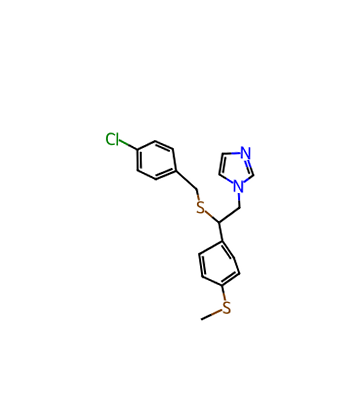 CSc1ccc(C(Cn2ccnc2)SCc2ccc(Cl)cc2)cc1